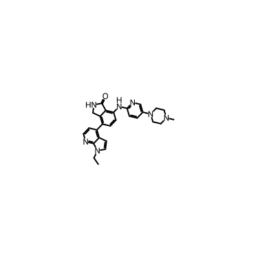 CCn1ccc2c(-c3ccc(Nc4ccc(N5CCN(C)CC5)cn4)c4c3CNC4=O)ccnc21